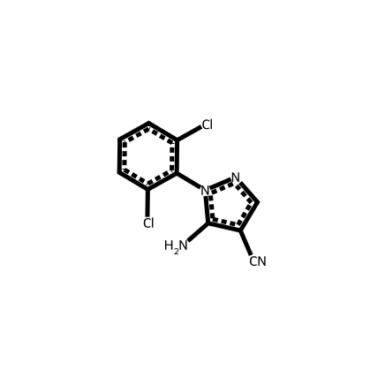 N#Cc1cnn(-c2c(Cl)cccc2Cl)c1N